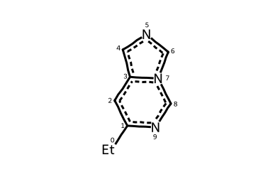 CCc1cc2cncn2cn1